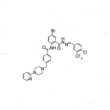 O=C(Nc1ccc(Br)cc1C(=O)NN=Cc1ccc(Cl)c(C(F)(F)F)c1)c1ccc(CN2CCN(c3ccccn3)CC2)cc1